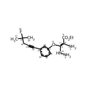 CCOC(=O)/C(N)=C(/NN)Oc1cccc(C#CCC(C)(C)F)c1